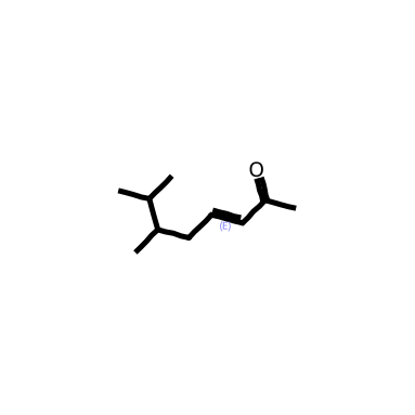 CC(=O)/C=C/CC(C)C(C)C